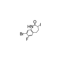 O=C1Nc2cc(Br)c(F)cc2CCC1I